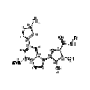 CCNC(=O)C1OC(n2cnc3c(NC)nc(-c4ccn(C)c4)nc32)C(O)C1O